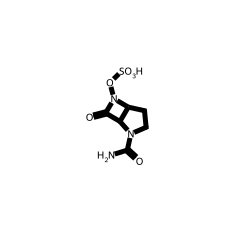 NC(=O)N1CCC2C1C(=O)N2OS(=O)(=O)O